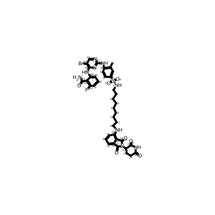 Cc1cc(S(=O)(=O)NCCCCCCCCCNc2cccc3c2C(=O)N(C2CCC(=O)NC2=O)C3=O)ccc1Nc1ncc(Br)c(Nc2cccc(F)c2C(N)=O)n1